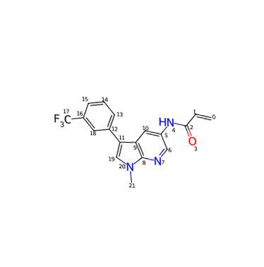 C=CC(=O)Nc1cnc2c(c1)c(-c1cccc(C(F)(F)F)c1)cn2C